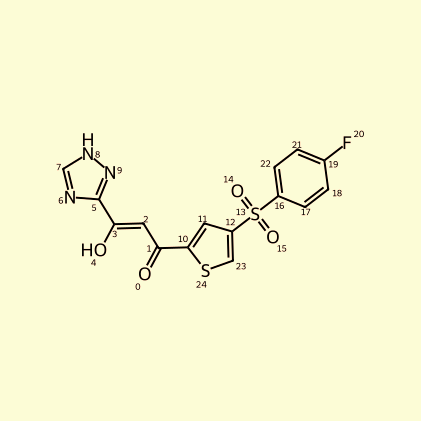 O=C(C=C(O)c1nc[nH]n1)c1cc(S(=O)(=O)c2ccc(F)cc2)cs1